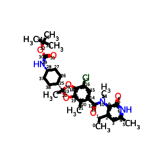 CCc1cc(C)[nH]c(=O)c1N(C)C(=O)c1cc(Cl)c2c(c1C)OC(C)([C@H]1CC[C@H](NC(=O)OC(C)(C)C)CC1)O2